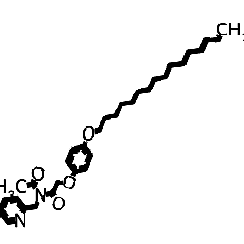 CCCCCCCCCCCCCCCCOc1ccc(OCC(=O)N(Cc2ccccn2)C(C)=O)cc1